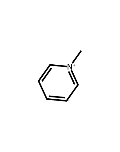 C[n+]1c[c]ccc1